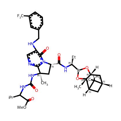 CC[C@H](NC(=O)[C@@H]1C[C@@](C)(NC(=O)NC(C(=O)OC)C(C)C)c2ncc(NCc3cccc(C(F)(F)F)c3)c(=O)n21)B1O[C@@H]2C[C@@H]3C[C@@H](C3(C)C)[C@]2(C)O1